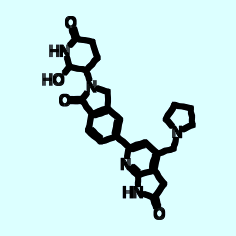 O=C1Cc2c(CN3CCCC3)cc(-c3ccc4c(c3)CN(C3CCC(=O)NC3O)C4=O)nc2N1